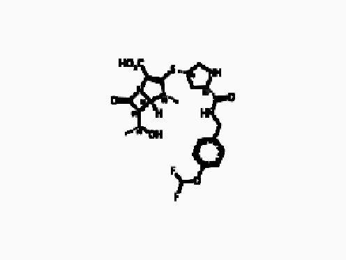 C[C@@H](O)[C@H]1C(=O)N2C(C(=O)O)=C(S[C@@H]3CN[C@H](C(=O)NCc4ccc(OC(F)F)cc4)C3)[C@H](C)[C@H]12